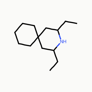 CCC1CC2(CCCCC2)CC(CC)N1